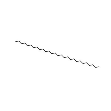 CCCCCCCCCC[CH]CCCCCCCCCCCCCCCCC